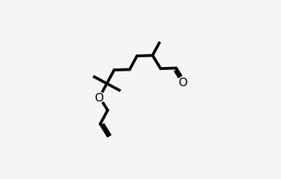 C=CCOC(C)(C)CCCC(C)CC=O